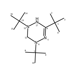 CC(C)(C)C1=NN(C(C)(C)C)CN(C(C)(C)C)N1